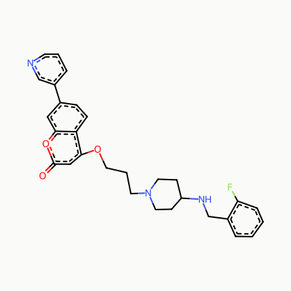 O=c1cc(OCCCN2CCC(NCc3ccccc3F)CC2)c2ccc(-c3cccnc3)cc2o1